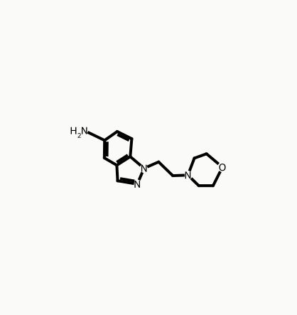 Nc1ccc2c(cnn2CCN2CCOCC2)c1